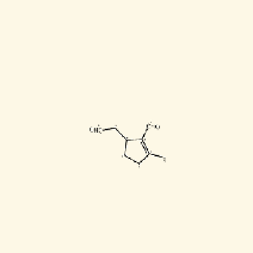 CC1=C(C=O)C(CC=O)CC1